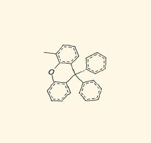 Cc1cccc2c1Oc1ccccc1C2(c1ccccc1)c1ccccc1